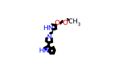 CCOCCO[C@H]1CN[C@H](CCN2CCC(C3CNc4ccccc43)CC2)C1